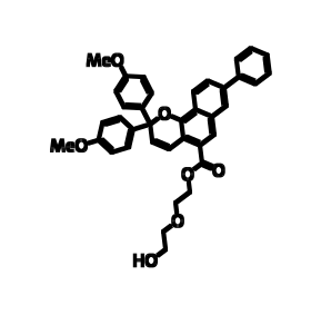 COc1ccc(C2(c3ccc(OC)cc3)C=Cc3c(C(=O)OCCOCCO)cc4cc(-c5ccccc5)ccc4c3O2)cc1